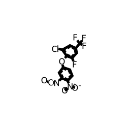 O=C=Nc1cc(Oc2c(F)cc(C(F)(F)F)cc2Cl)ccc1[N+](=O)[O-]